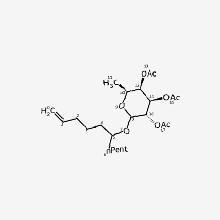 C=CCCCC(CCCCC)OC1O[C@@H](C)[C@@H](OC(C)=O)[C@@H](OC(C)=O)[C@@H]1OC(C)=O